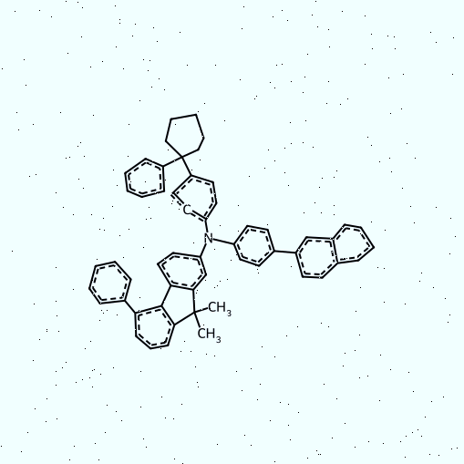 CC1(C)c2cc(N(c3ccc(-c4ccc5ccccc5c4)cc3)c3ccc(C4(c5ccccc5)CCCCC4)cc3)ccc2-c2c(-c3ccccc3)cccc21